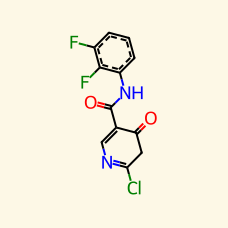 O=C1CC(Cl)=NC=C1C(=O)Nc1cccc(F)c1F